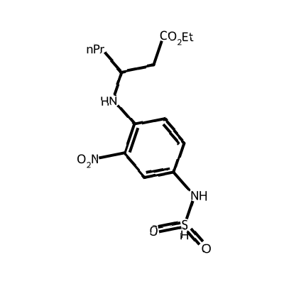 CCCC(CC(=O)OCC)Nc1ccc(N[SH](=O)=O)cc1[N+](=O)[O-]